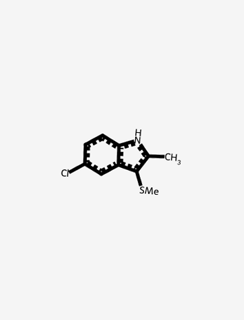 CSc1c(C)[nH]c2ccc(Cl)cc12